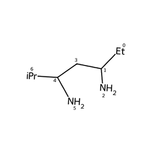 CCC(N)CC(N)C(C)C